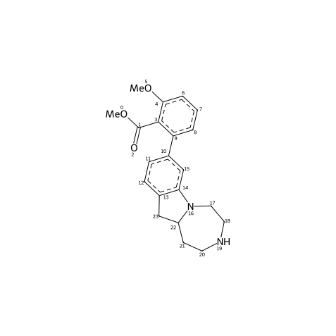 COC(=O)c1c(OC)cccc1-c1ccc2c(c1)N1CCNCCC1C2